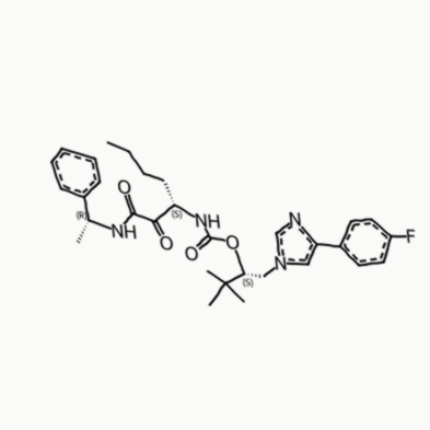 CCCC[C@H](NC(=O)O[C@H](Cn1cnc(-c2ccc(F)cc2)c1)C(C)(C)C)C(=O)C(=O)N[C@H](C)c1ccccc1